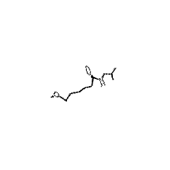 COCCCCCC(=O)NCC(C)C